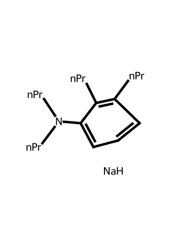 CCCc1cccc(N(CCC)CCC)c1CCC.[NaH]